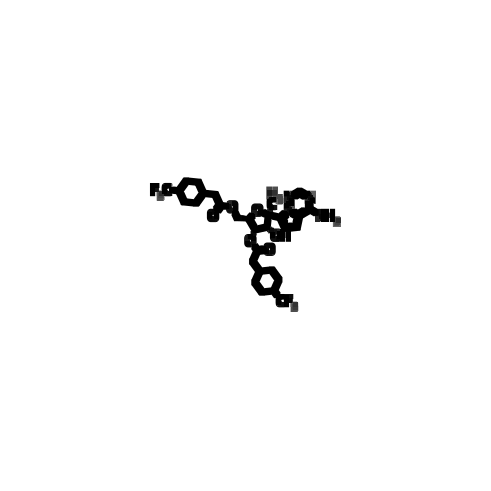 C[C@@]1(c2ccc3c(N)ncnn23)O[C@H](COC(=O)CC2CCC(C(F)(F)F)CC2)[C@@H](OC(=O)CC2CCC(C(F)(F)F)CC2)[C@H]1O